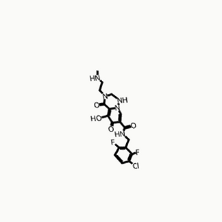 CNCCN1CNn2cc(C(=O)NCc3c(F)ccc(Cl)c3F)c(=O)c(O)c2C1=O